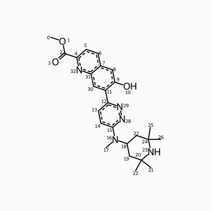 COC(=O)c1ccc2cc(O)c(-c3ccc(N(C)C4CC(C)(C)NC(C)(C)C4)nn3)cc2n1